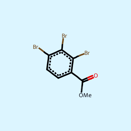 COC(=O)c1ccc(Br)c(Br)c1Br